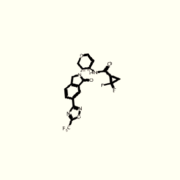 O=C(N[C@@H]1CCOC[C@H]1N1Cc2ccc(-c3noc(C(F)(F)F)n3)cc2C1=O)C1CC1(F)F